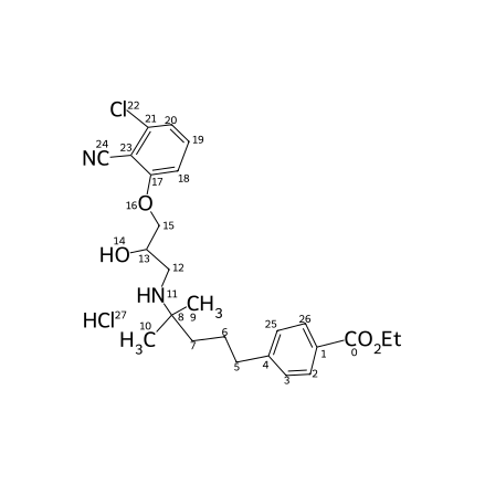 CCOC(=O)c1ccc(CCCC(C)(C)NCC(O)COc2cccc(Cl)c2C#N)cc1.Cl